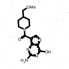 COCC1CCN(C(=O)c2csc3c(O)nc(N)nc23)CC1